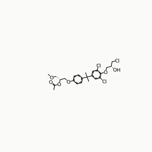 COC[C@H](COc1ccc(C(C)(C)c2cc(Cl)c(OC[C@@H](O)CCl)c(Cl)c2)cc1)OC(C)=O